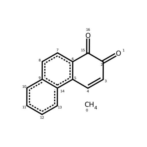 C.O=C1C=Cc2c(ccc3ccccc23)C1=O